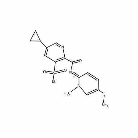 CCS(=O)(=O)c1cc(C2CC2)cnc1C(=O)/N=c1\ccc(SC(F)(F)F)cn1C